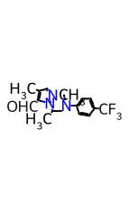 Cc1cnn(C(C)CN(C)c2ccc(C(F)(F)F)cc2)c1C=O